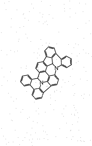 c1ccc2c(c1)-c1cccc3c4ccc5c6c4n(c13)C2c1ccc2c(c1-6)C1c3c(cccc3-2)-c2ccccc2N51